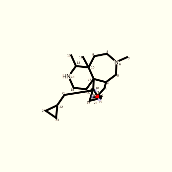 CC1=C\CC2CN(C)CCC3(C)C(C)NCCC23/C(C)=C(CC2CC2)/C=C\1